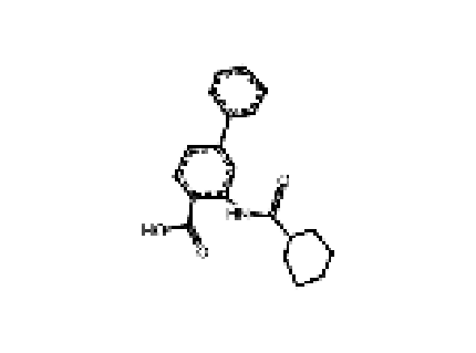 O=C(O)c1ccc(-c2ccccc2)cc1NC(=O)C1CCCCC1